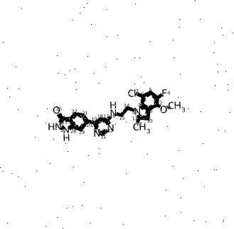 COc1c(F)cc(Cl)c2c1cc(C)n2CCNc1cc(-c2ccc3c(=O)[nH][nH]c3c2)ncn1